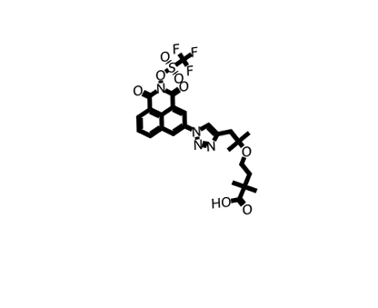 CC(C)(Cc1cn(-c2cc3c4c(cccc4c2)C(=O)N(OS(=O)(=O)C(F)(F)F)C3=O)nn1)OCCC(C)(C)C(=O)O